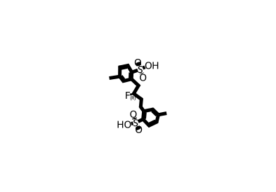 Cc1ccc(S(=O)(=O)O)c(CC[C@@H](F)Cc2cc(C)ccc2S(=O)(=O)O)c1